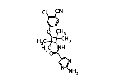 CC1(C)[C@H](NC(=O)c2cnc(N)nc2)C(C)(C)[C@H]1Oc1ccc(C#N)c(Cl)c1